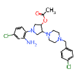 CC(=O)OC1CN(c2ccc(Cl)cc2N)CC1N1CCN(Cc2ccc(Cl)cc2)CC1